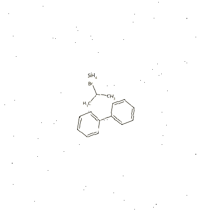 CC(C)Br.[SiH4].c1ccc(-c2ccccc2)cc1